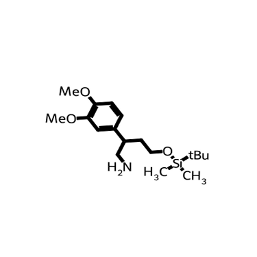 COc1ccc(C(CN)CCO[Si](C)(C)C(C)(C)C)cc1OC